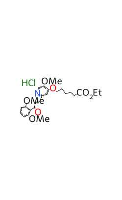 CCOC(=O)CCCCCOc1cc(/C=C/C(=O)c2c(OC)cccc2OC)ncc1OC.Cl